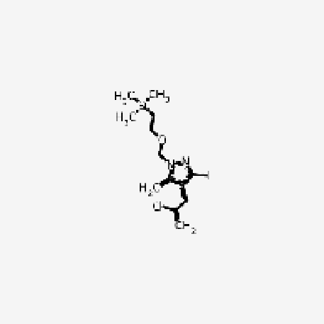 C=C(Cl)/C=c1/c(I)nn(COCC[Si](C)(C)C)c1=C